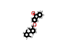 Cc1cccc(C)c1-c1cccc(COc2ccc3c(c2)-c2ccccc2C3=O)c1C